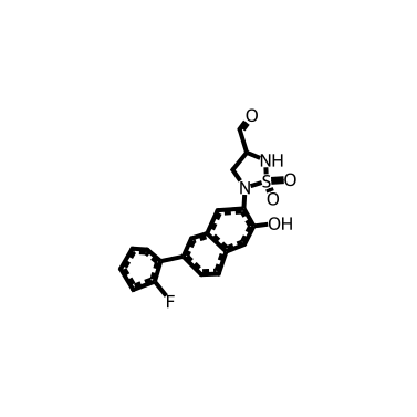 O=CC1CN(c2cc3cc(-c4ccccc4F)ccc3cc2O)S(=O)(=O)N1